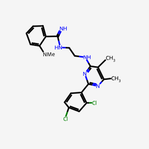 CNc1ccccc1C(=N)NCCNc1nc(-c2ccc(Cl)cc2Cl)nc(C)c1C